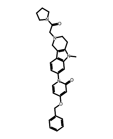 Cn1c2c(c3ccc(-n4ccc(OCc5ccccc5)cc4=O)cc31)CN(CC(=O)N1CCCC1)CC2